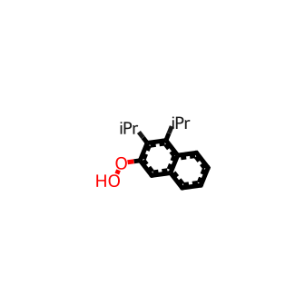 CC(C)c1c(OO)cc2ccccc2c1C(C)C